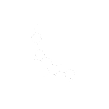 CCOc1ccc(-c2cnnc(Nc3cc(F)nc(N4C[C@@H](C)O[C@@H](C)C4)n3)c2)cc1